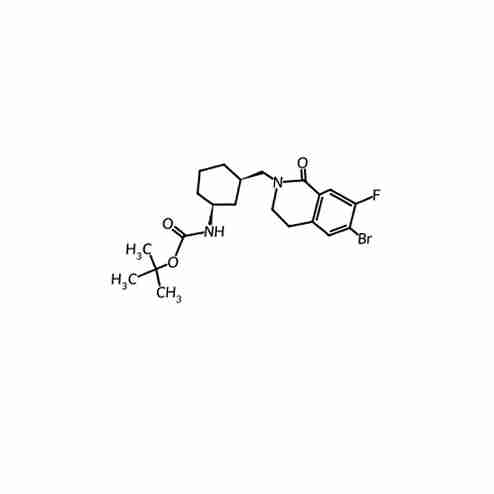 CC(C)(C)OC(=O)N[C@H]1CCC[C@@H](CN2CCc3cc(Br)c(F)cc3C2=O)C1